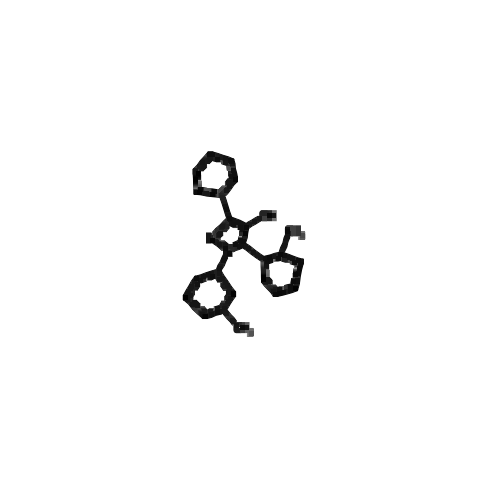 Cc1cccc(-n2nc(-c3ccccc3)c(O)c2-c2ccccc2C)c1